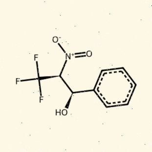 O=[N+]([O-])[C@@H]([C@H](O)c1ccccc1)C(F)(F)F